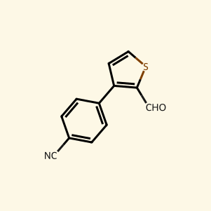 N#Cc1ccc(-c2ccsc2C=O)cc1